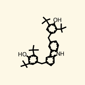 CC(C)(C)c1cc(Cc2ccc3[nH]c4ccc(Cc5cc(C(C)(C)C)c(O)c(C(C)(C)C)c5)cc4c3c2)cc(C(C)(C)C)c1O